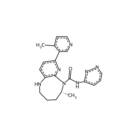 Cc1ccncc1-c1ccc2c(n1)N(C(=O)Nc1cccnn1)[C@H](C)CCCN2